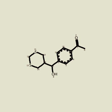 CC(=O)c1ccc(C(O)C2CSCSC2)cc1